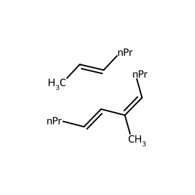 CC=CCCC.CCC/C=C(C)\C=C\CCC